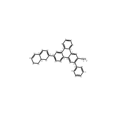 Nc1cc2c3ccccc3c3cc(C4=CC=C5C=CCCC5C4)ccc3c2cc1-c1ccccc1